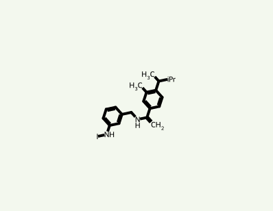 C=C(NCc1cccc(NI)c1)c1ccc(C(C)C(C)C)c(C)c1